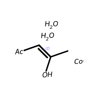 CC(=O)/C=C(/C)O.O.O.[Co]